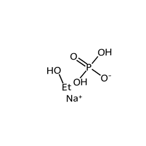 CCO.O=P([O-])(O)O.[Na+]